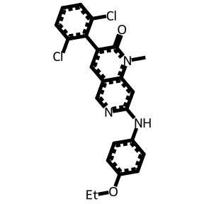 CCOc1ccc(Nc2cc3c(cn2)cc(-c2c(Cl)cccc2Cl)c(=O)n3C)cc1